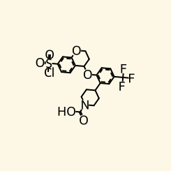 O=C(O)N1CCC(c2cc(C(F)(F)F)ccc2OC2CCOc3cc(S(=O)(=O)Cl)ccc32)CC1